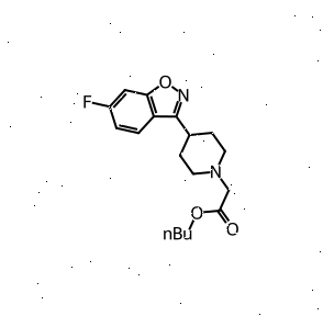 CCCCOC(=O)CN1CCC(c2noc3cc(F)ccc23)CC1